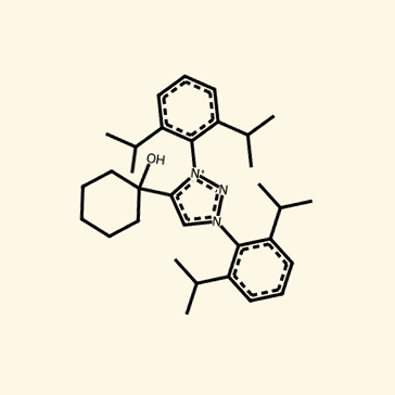 CC(C)c1cccc(C(C)C)c1-n1cc(C2(O)CCCCC2)[n+](-c2c(C(C)C)cccc2C(C)C)n1